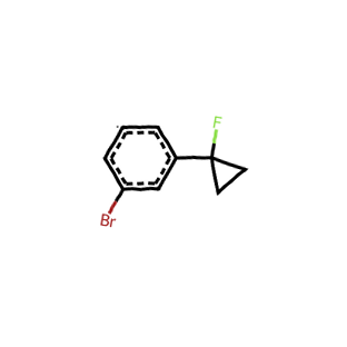 FC1(c2c[c]cc(Br)c2)CC1